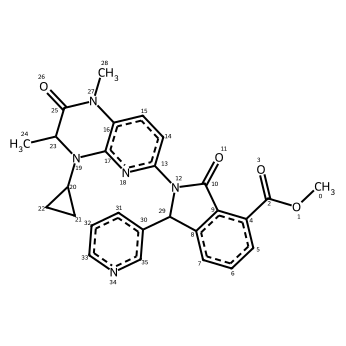 COC(=O)c1cccc2c1C(=O)N(c1ccc3c(n1)N(C1CC1)C(C)C(=O)N3C)C2c1cccnc1